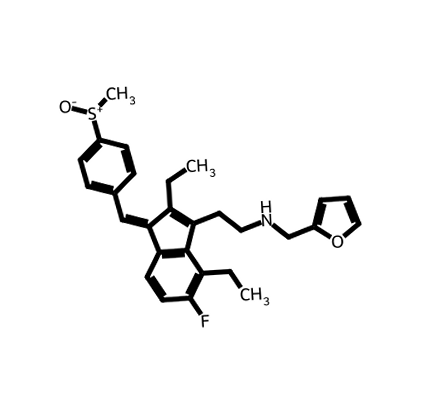 CCC1=C(CCNCc2ccco2)c2c(ccc(F)c2CC)C1=Cc1ccc([S+](C)[O-])cc1